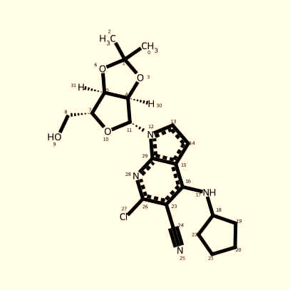 CC1(C)O[C@@H]2[C@H](O1)[C@@H](CO)O[C@H]2n1ccc2c(NC3CCCC3)c(C#N)c(Cl)nc21